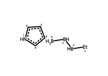 BBBCC.c1cc[nH]c1